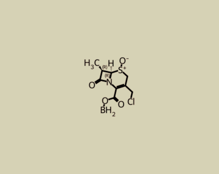 BOC(=O)C1=C(CCl)C[S+]([O-])[C@@H]2[C@H](C)C(=O)N12